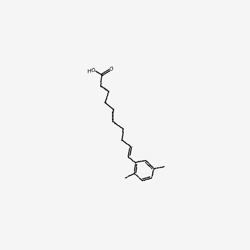 Cc1ccc(C)c(C=CCCCCCCCC(=O)O)c1